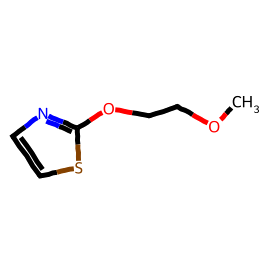 COCCOc1nccs1